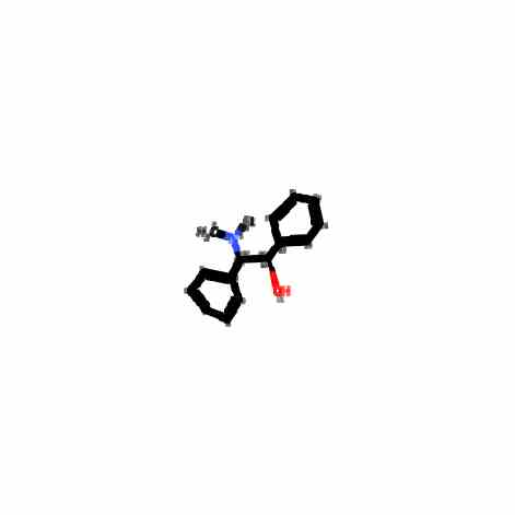 CCN(C)[C@H](c1ccccc1)[C@H](O)c1ccccc1